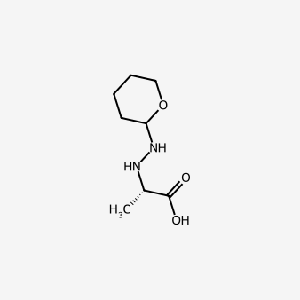 C[C@H](NNC1CCCCO1)C(=O)O